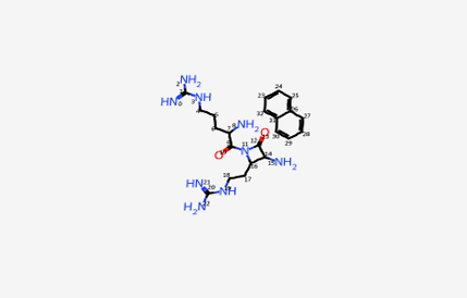 N=C(N)NCCCC(N)C(=O)N1C(=O)C(N)C1CCNC(=N)N.c1ccc2ccccc2c1